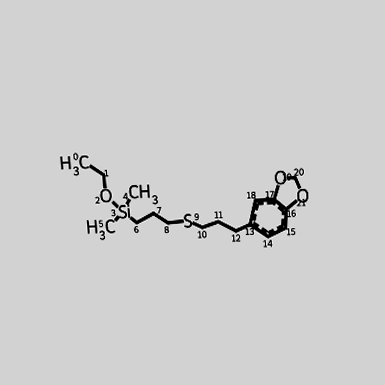 CCO[Si](C)(C)CCCSCCCc1ccc2c(c1)OCO2